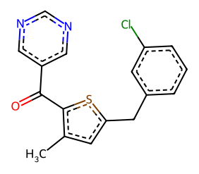 Cc1cc(Cc2cccc(Cl)c2)sc1C(=O)c1cncnc1